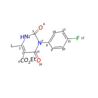 CCOC(=O)c1c(C)[nH]c(=O)n(-c2ccc(F)cc2)c1=O